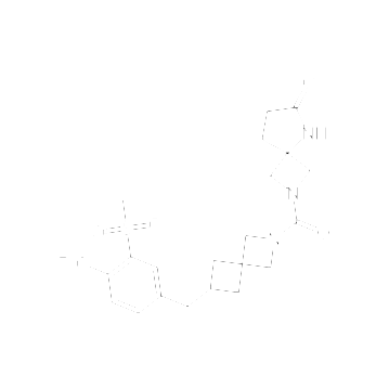 CS(=O)(=O)c1cc(CC2CC3(C2)CN(C(=O)N2CC4(CCC(=O)N4)C2)C3)ccc1C(F)(F)F